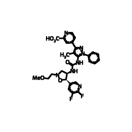 COCCN1C[C@@H](NC(=O)Nc2c(C)c(-c3ccnc(C(=O)O)c3)nn2-c2ccccc2)[C@H](c2cnc(F)c(F)c2)O1